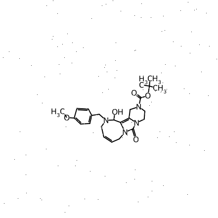 COc1ccc(CN2C/C=C\Cn3c(c4n(c3=O)CCN(C(=O)OC(C)(C)C)C4)C2O)cc1